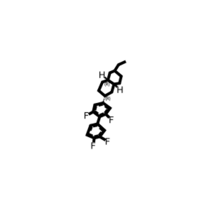 CCC1CC[C@@H]2C[C@H](c3cc(F)c(-c4ccc(F)c(F)c4)c(F)c3)CC[C@@H]2C1